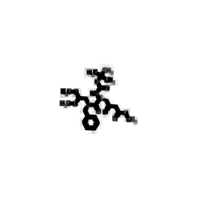 COC(=O)CC(=O)C[C@@H](NC(=O)OC(C)(C)C)C(=O)N(Cc1ccccc1)CC(OC)OC